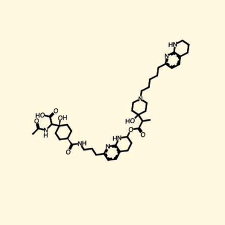 CC(=O)NC(C(=O)O)[C@]1(O)CC[C@@H](C(=O)NCCCc2ccc3c(n2)NC(OC(=O)C(C)C2(O)CCN(CCCCCc4ccc5c(n4)NCCC5)CC2)CC3)CC1